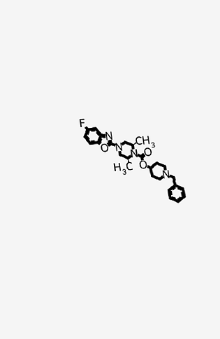 C[C@@H]1CN(c2nc3cc(F)ccc3o2)C[C@H](C)N1C(=O)OC1CCN(Cc2ccccc2)CC1